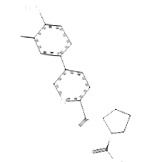 COC(=O)[C@@H]1CCC[C@H]1C(=O)c1ccc(-c2ccc(N)c(F)c2)cn1